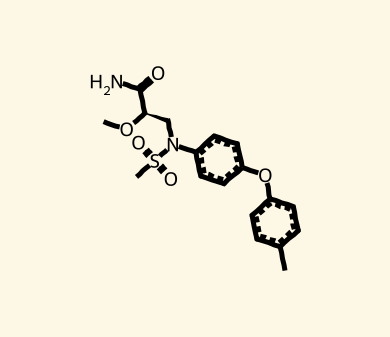 CO[C@H](CN(c1ccc(Oc2ccc(C)cc2)cc1)S(C)(=O)=O)C(N)=O